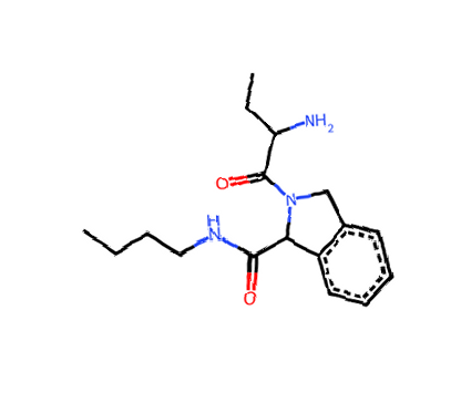 CCCCNC(=O)C1c2ccccc2CN1C(=O)C(N)CC